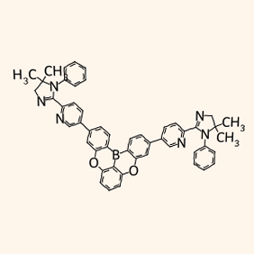 CC1(C)CN=C(c2ccc(-c3ccc4c(c3)Oc3cccc5c3B4c3ccc(-c4ccc(C6=NCC(C)(C)N6c6ccccc6)nc4)cc3O5)cn2)N1c1ccccc1